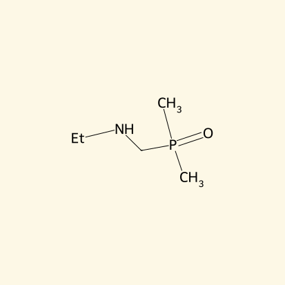 [CH2]CNCP(C)(C)=O